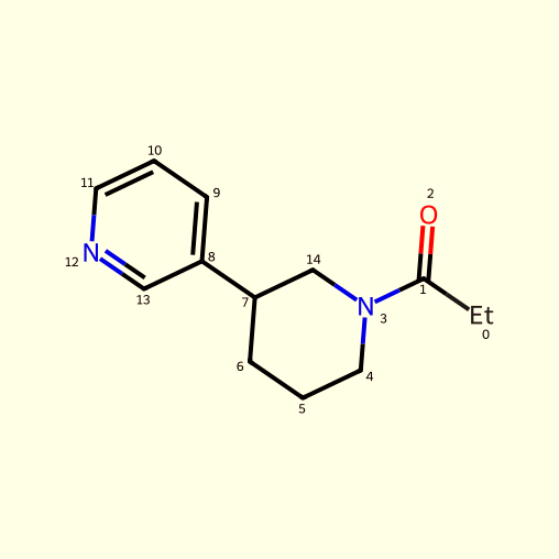 CCC(=O)N1CCCC(c2cccnc2)C1